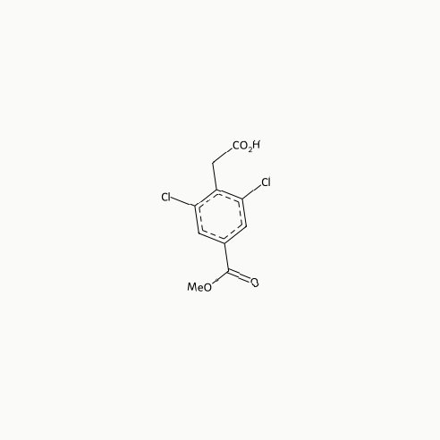 COC(=O)c1cc(Cl)c(CC(=O)O)c(Cl)c1